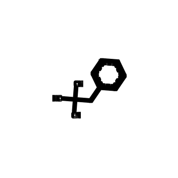 N#CC(C#N)(C#N)Cc1c[c]ccc1